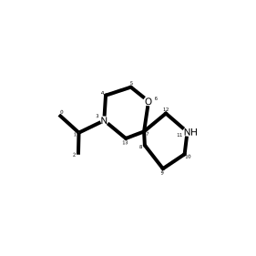 CC(C)N1CCOC2(CCCNC2)C1